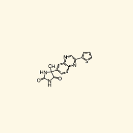 CC1(c2ccc3nc(-c4cccs4)cnc3c2)NC(=O)NC1=O